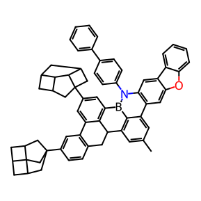 Cc1cc2c3c(c1)C1Cc4ccc(C56CC7CC8CC(C5)C87C6)cc4-c4cc(C56CC7CC8CC(C5)C6C87)cc(c41)B3N(c1ccc(-c3ccccc3)cc1)c1cc3c(cc1-2)oc1ccccc13